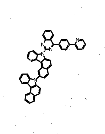 c1ccc(-c2ccc(-c3nc(-n4c5ccccc5c5c6cc(-n7c8ccccc8c8c9ccccc9ccc87)ccc6ccc54)nc4ccccc34)cc2)nc1